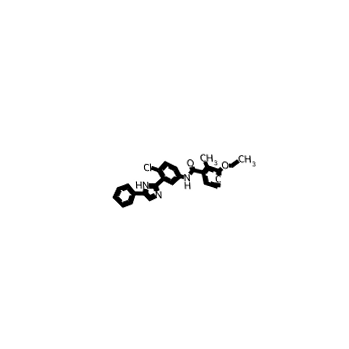 CCOc1cccc(C(=O)Nc2ccc(Cl)c(-c3ncc(-c4ccccc4)[nH]3)c2)c1C